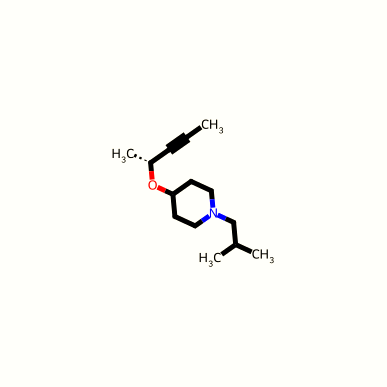 CC#C[C@@H](C)OC1CCN(CC(C)C)CC1